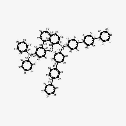 c1ccc(-c2ccc(-c3ccc(N(c4ccc(-c5ccc(-c6ccccc6)cc5)cc4)c4ccc5cccc6c5c4Oc4ccc(N(c5ccccc5)c5ccccc5)cc4-6)cc3)cc2)cc1